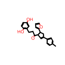 Cc1ccc(C2=CC(C(=O)CCc3cc(O)ccc3O)C(c3ccco3)C2)cc1